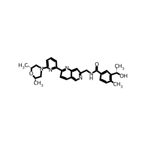 Cc1ccc(C(=O)NCc2cc3nc(-c4cccc(N5C[C@@H](C)O[C@@H](C)C5)n4)ccc3cn2)cc1[C@H](C)O